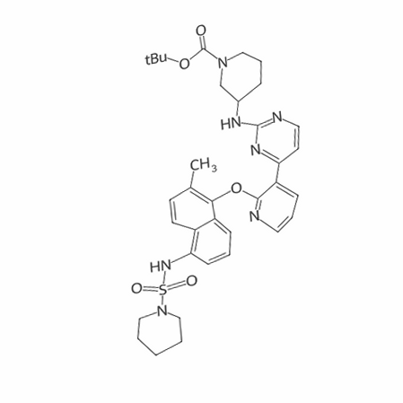 Cc1ccc2c(NS(=O)(=O)N3CCCCC3)cccc2c1Oc1ncccc1-c1ccnc(NC2CCCN(C(=O)OC(C)(C)C)C2)n1